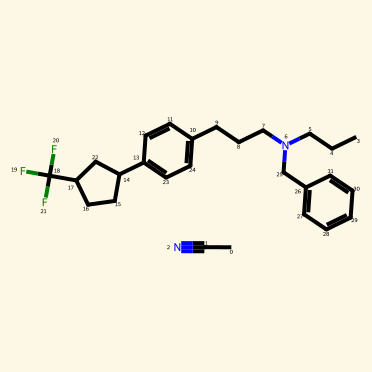 CC#N.CCCN(CCCc1ccc(C2CCC(C(F)(F)F)C2)cc1)Cc1ccccc1